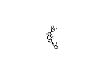 Cn1cc(-c2cnc3ccc4ccc(NCC5CCOCC5)cc4c(=O)c3c2)cn1